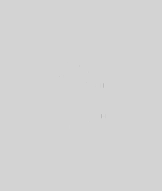 CC(C)(O)CCC1CC(C2(C)OCCO2)C1(C)C